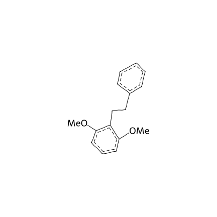 COc1cccc(OC)c1CCc1ccccc1